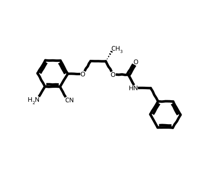 C[C@@H](COc1cccc(N)c1C#N)OC(=O)NCc1ccccc1